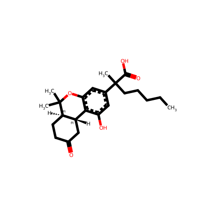 CCCCCC(C)(C(=O)O)c1cc(O)c2c(c1)OC(C)(C)[C@@H]1CCC(=O)C[C@@H]21